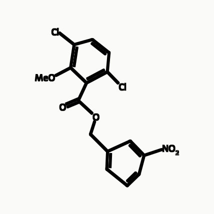 COc1c(Cl)ccc(Cl)c1C(=O)OCc1cccc([N+](=O)[O-])c1